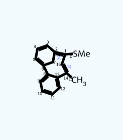 CSC1=C2\C=CC=C(C2)c2ccccc2\C(C)=C\1